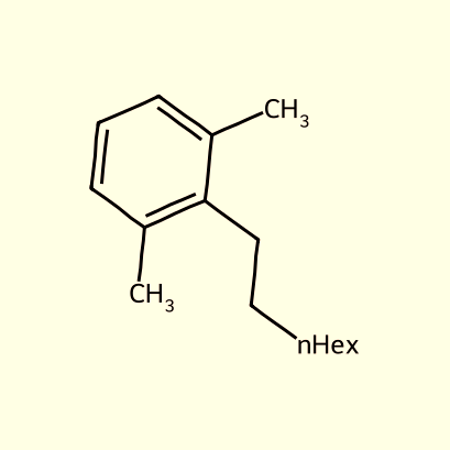 [CH2]CCCCCCCc1c(C)cccc1C